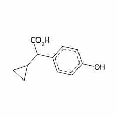 O=C(O)C(c1ccc(O)cc1)C1CC1